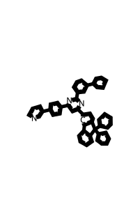 c1ccc(-c2cccc(-c3nc(-c4ccc(-c5cccnc5)cc4)cc(-c4ccc5c(c4)-c4ccccc4C5(c4ccccc4)c4ccccc4)n3)c2)cc1